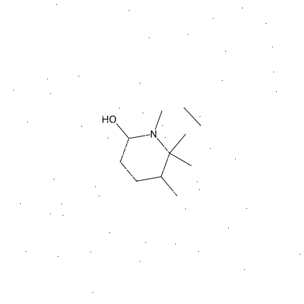 CC.CC1CCC(O)N(C)C1(C)C